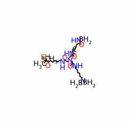 BNC(=O)CCCCNC(=O)CN(CC(=O)NCCCCCCN(B)B)CC(=O)NCCCCCC(=O)C(C)(C)SS